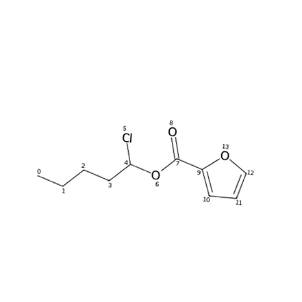 CCCCC(Cl)OC(=O)c1ccco1